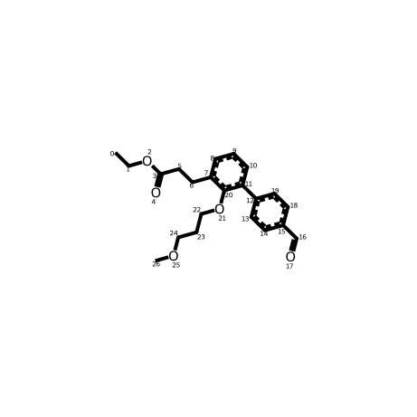 CCOC(=O)CCc1cccc(-c2ccc(C=O)cc2)c1OCCCOC